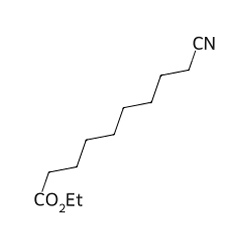 CCOC(=O)CCCCCCCCC#N